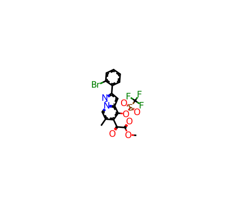 COC(=O)C(=O)c1c(C)cn2nc(-c3ccccc3Br)cc2c1OS(=O)(=O)C(F)(F)F